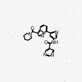 O=C(Nc1cncc(-c2cccc3c(C(=O)N4CCCCC4)cnn23)c1)c1cncnc1